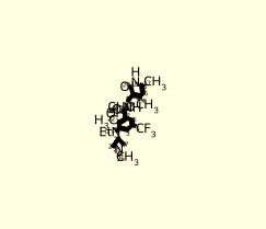 CCN(c1cc(C(F)(F)F)cc(C(=O)NCc2c(C)cc(C)[nH]c2=O)c1C)C1CN(C)C1.O=CO